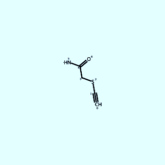 C#CSCC([NH])=O